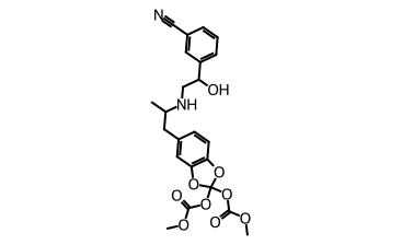 COC(=O)OC1(OC(=O)OC)Oc2ccc(CC(C)NCC(O)c3cccc(C#N)c3)cc2O1